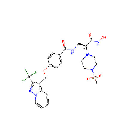 CS(=O)(=O)N1CCN([C@@H](CNC(=O)c2ccc(OCc3c(C(F)(F)F)nn4ccccc34)cc2)C(=O)NO)CC1